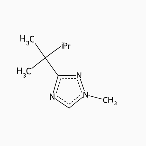 CC(C)C(C)(C)c1ncn(C)n1